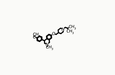 COc1ccc(C2CN(C)Cc3cc(OCC4CCN(CC(C)C)CC4)ccc32)cc1